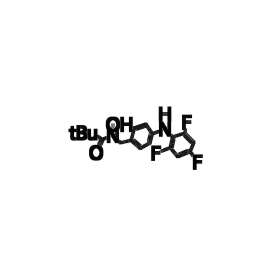 CC(C)(C)C(=O)N(O)Cc1ccc(Nc2c(F)cc(F)cc2F)cc1